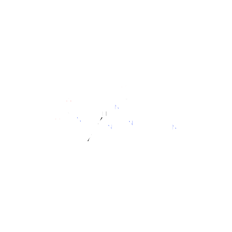 COC(=O)N1C[C@H]2CCN(c3nc(-c4ccncc4)cc(=O)n3C)[C@H]2C1